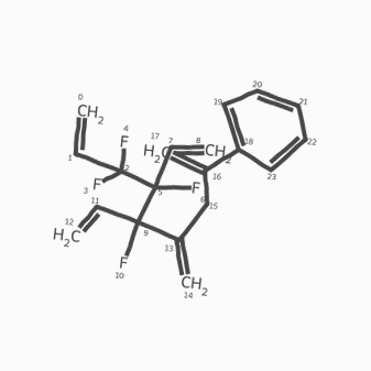 C=CC(F)(F)C(F)(C=C)C(F)(C=C)C(=C)CC(=C)c1ccccc1